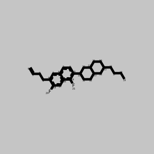 C=CCCc1cc2ccc(C3CCC4CC(CCCC)CCC4C3)c(F)c2cc1F